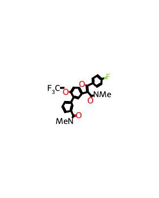 CNC(=O)c1cccc(-c2cc3c(C(=O)NC)c(-c4ccc(F)cc4)oc3cc2OCC(F)(F)F)c1